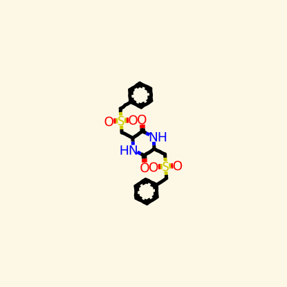 O=C1NC(CS(=O)(=O)Cc2ccccc2)C(=O)NC1CS(=O)(=O)Cc1ccccc1